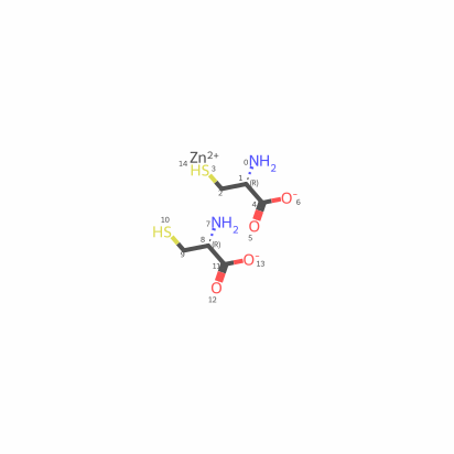 N[C@@H](CS)C(=O)[O-].N[C@@H](CS)C(=O)[O-].[Zn+2]